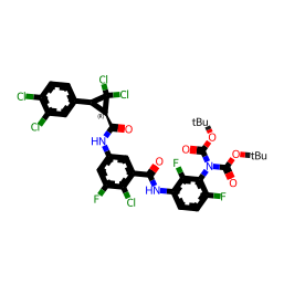 CC(C)(C)OC(=O)N(C(=O)OC(C)(C)C)c1c(F)ccc(NC(=O)c2cc(NC(=O)[C@H]3C(c4ccc(Cl)c(Cl)c4)C3(Cl)Cl)cc(F)c2Cl)c1F